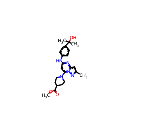 COC(=O)C1CCN(c2cc(Nc3ccc(C(C)(C)O)cc3)nc3cc(C)nn23)CC1